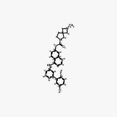 CN1CC2(CCN(C(=O)Oc3ccc4c(Nc5cnnc(-c6cc(Cl)ccc6F)c5)ccnc4c3)C2)C1